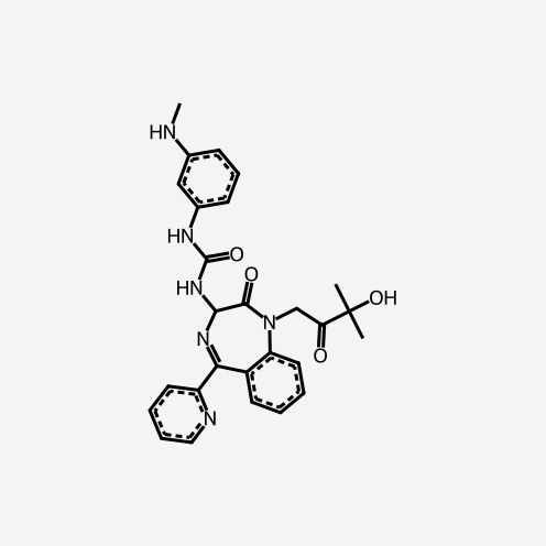 CNc1cccc(NC(=O)NC2N=C(c3ccccn3)c3ccccc3N(CC(=O)C(C)(C)O)C2=O)c1